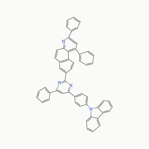 c1ccc(-c2cc(-c3ccc(-n4c5ccccc5c5ccccc54)cc3)nc(-c3ccc4c(ccc5nc(-c6ccccc6)cc(-c6ccccc6)c54)c3)n2)cc1